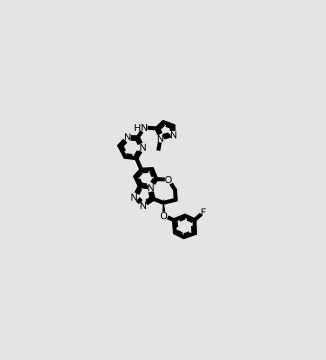 Cn1nccc1Nc1nccc(-c2cc3n4c(nnc4c2)[C@H](Oc2cccc(F)c2)CCO3)n1